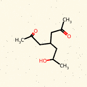 CC(=O)CC(CC(C)=O)CC(C)O